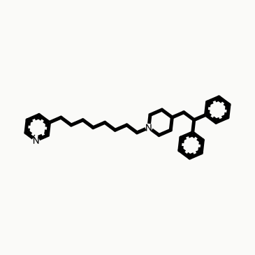 c1ccc(C(CC2CCN(CCCCCCCCc3cccnc3)CC2)c2ccccc2)cc1